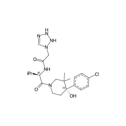 CC(C)[C@@H](NC(=O)CN1C=NNN1)C(=O)N1CC[C@](O)(c2ccc(Cl)cc2)C(C)(C)C1